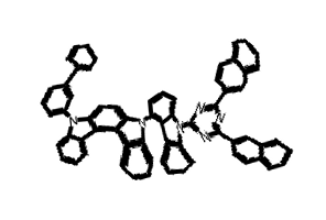 c1ccc(-c2cccc(-n3c4ccccc4c4c5c6ccccc6n(-c6cccc7c6c6ccccc6n7-c6nc(-c7ccc8ccccc8c7)nc(-c7ccc8ccccc8c7)n6)c5ccc43)c2)cc1